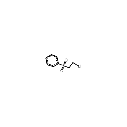 O=S(=O)(CCCl)c1ccccc1